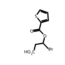 CC(C)C(CC(=O)O)OC(=O)c1cccs1